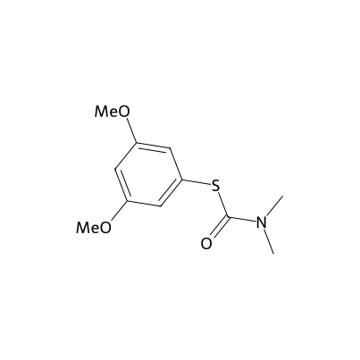 COc1cc(OC)cc(SC(=O)N(C)C)c1